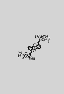 CC(C)(C)[Si](C)(C)CCCc1cccc2c1OC1OC2Oc2c(CCC[Si](C)(C)C(C)(C)C)cccc21